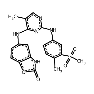 Cc1ccc(Nc2ncc(C)c(Nc3ccc4oc(=O)[nH]c4c3)n2)cc1S(C)(=O)=O